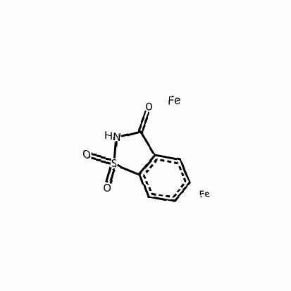 O=C1NS(=O)(=O)c2ccccc21.[Fe].[Fe]